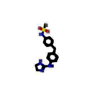 CCS(=O)(=O)Nc1ccc(Cc2ccc(NC3=NCCN3)cc2)cc1